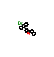 Brc1c2ccccc2c(-c2ccc3oc4c5ccccc5ccc4c3c2)c2ccccc12